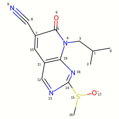 CC(C)Cn1c(=O)c(C#N)cc2cnc([S+](C)[O-])nc21